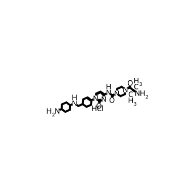 CC(C)(N)C(=O)N1CCN(C(=O)Nc2ccn(C3=CCC(CNC4CCC(N)CC4)CC3)c(=O)n2)CC1.Cl